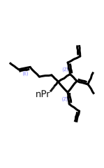 C=C/C=C1\C(=C(C)C)/C(=C\C=C)C1(CCC)CC/C=C/C